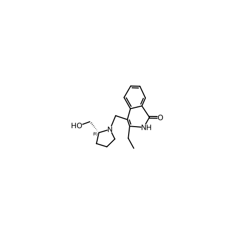 CCc1[nH]c(=O)c2ccccc2c1CN1CCC[C@@H]1CO